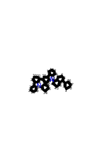 c1ccc(-c2cccc3c(-n4c5ccccc5c5cc(-c6cccc7c8ccccc8n(-c8ccccc8)c67)ccc54)cccc23)cc1